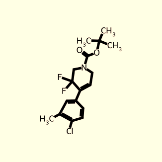 Cc1cc(C2=CCN(C(=O)OC(C)(C)C)CC2(F)F)ccc1Cl